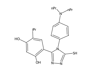 CCCN(CCC)c1ccc(-n2c(S)nnc2-c2cc(C(C)C)c(O)cc2O)cc1